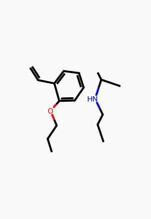 C=Cc1ccccc1OCCC.CCCNC(C)C